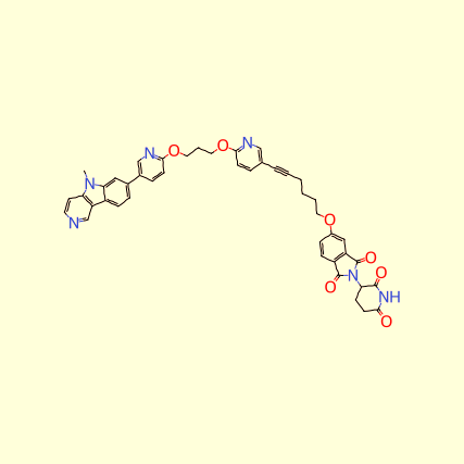 Cn1c2ccncc2c2ccc(-c3ccc(OCCCOc4ccc(C#CCCCCOc5ccc6c(c5)C(=O)N(C5CCC(=O)NC5=O)C6=O)cn4)nc3)cc21